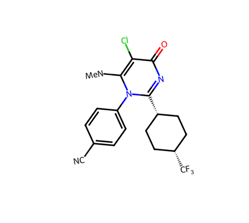 CNc1c(Cl)c(=O)nc([C@H]2CC[C@@H](C(F)(F)F)CC2)n1-c1ccc(C#N)cc1